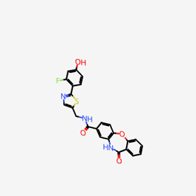 O=C(NCc1cnc(-c2ccc(O)cc2F)s1)c1ccc2c(c1)NC(=O)c1ccccc1O2